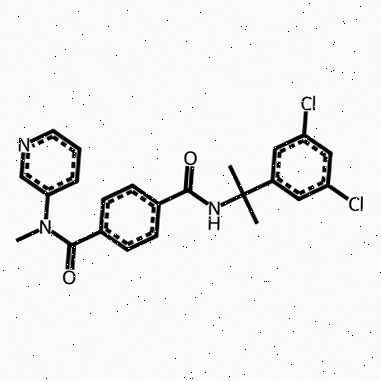 CN(C(=O)c1ccc(C(=O)NC(C)(C)c2cc(Cl)cc(Cl)c2)cc1)c1cccnc1